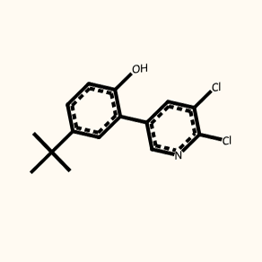 CC(C)(C)c1ccc(O)c(-c2cnc(Cl)c(Cl)c2)c1